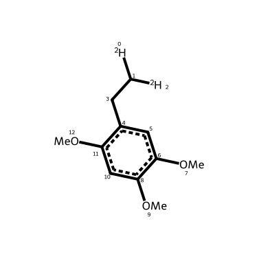 [2H]C([2H])Cc1cc(OC)c(OC)cc1OC